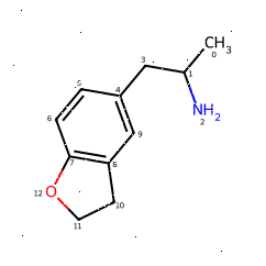 CC(N)Cc1ccc2c(c1)CCO2